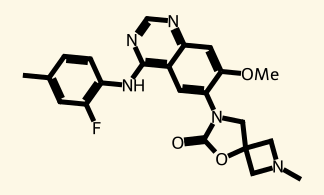 COc1cc2ncnc(Nc3ccc(C)cc3F)c2cc1N1CC2(CN(C)C2)OC1=O